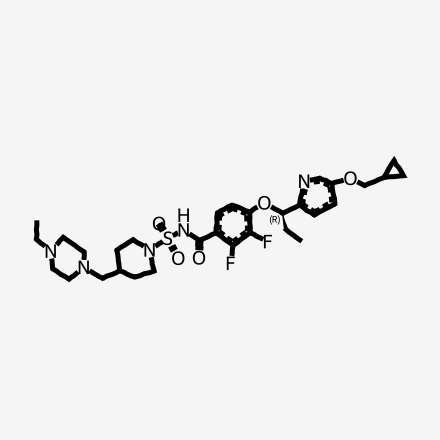 CC[C@@H](Oc1ccc(C(=O)NS(=O)(=O)N2CCC(CN3CCN(CC)CC3)CC2)c(F)c1F)c1ccc(OCC2CC2)cn1